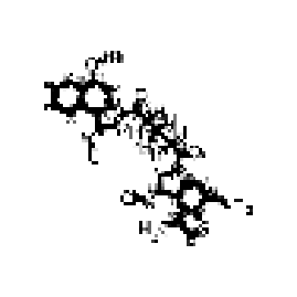 [2H]C([2H])(C(=O)N1C[C@@H](CCl)c2c1cc(OC(C)(C)C)c1ccccc21)C([2H])([2H])C([2H])([2H])C(=O)N1C[C@@H](CCl)c2c1cc(C)c1scc(C)c21